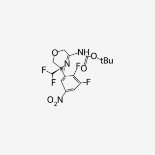 CC(C)(C)OC(=O)NC1=N[C@@](c2cc([N+](=O)[O-])cc(F)c2F)(C(F)F)COC1